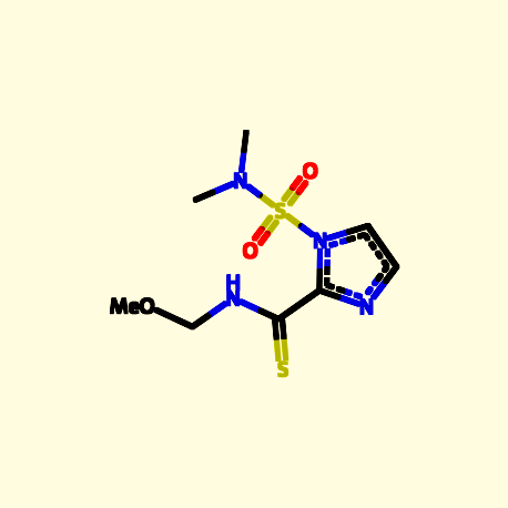 COCNC(=S)c1nccn1S(=O)(=O)N(C)C